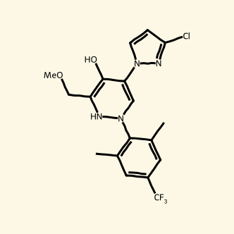 COCC1=C(O)C(n2ccc(Cl)n2)=CN(c2c(C)cc(C(F)(F)F)cc2C)N1